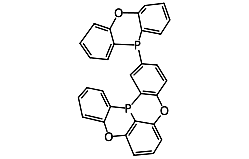 c1ccc2c(c1)Oc1ccccc1P2c1ccc2c(c1)P1c3ccccc3Oc3cccc(c31)O2